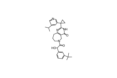 CC(C)c1cncc(C2(c3nc4c(c(=O)[nH]3)CN(C(=O)C(O)c3cccc(C(C)(C)C)c3)CCC4)CC2)c1